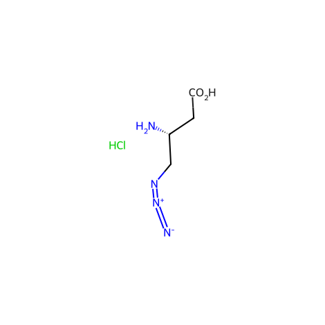 Cl.[N-]=[N+]=NC[C@H](N)CC(=O)O